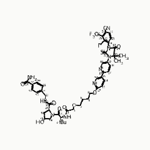 CC(C)(C)[C@H](NC(=O)COCCCCOc1ccc(-c2ccc(N3C(=S)N(c4ccc(C#N)c(C(F)(F)F)c4F)C(=O)C3(C)C)cn2)cn1)C(=O)N1C[C@H](O)C[C@H]1C(=O)NCc1ccc(C(N)=O)cc1